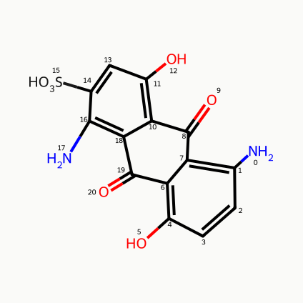 Nc1ccc(O)c2c1C(=O)c1c(O)cc(S(=O)(=O)O)c(N)c1C2=O